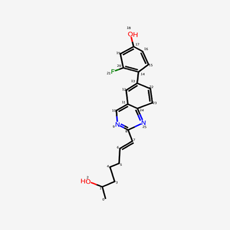 CC(O)CCC/C=C/c1ncc2cc(-c3ccc(O)cc3F)ccc2n1